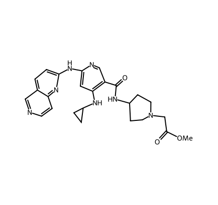 COC(=O)CN1CCC(NC(=O)c2cnc(Nc3ccc4cnccc4n3)cc2NC2CC2)CC1